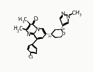 Cc1nc2c(-c3ccc(Cl)cc3)cc([C@H]3CCO[C@@H](c4cnn(C)c4)C3)cn2c(=O)c1C